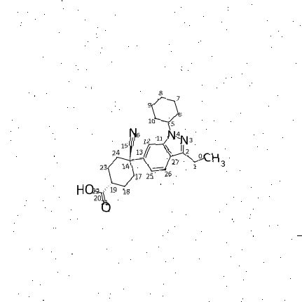 CCc1nn(C2CCCCC2)c2cc([C@]3(C#N)CC[C@H](C(=O)O)CC3)ccc12